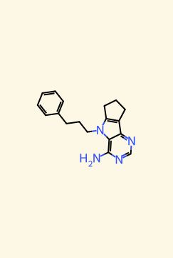 Nc1ncnc2c3c(n(CCCc4ccccc4)c12)CCC3